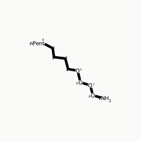 CCCCCCCCCOOOON